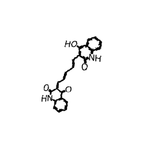 O=C1Nc2ccccc2C(=O)C1=CC=CC=Cc1c(O)c2ccccc2[nH]c1=O